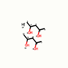 CC(O)CC(C)O.CC(O)CC(C)O.[Hf]